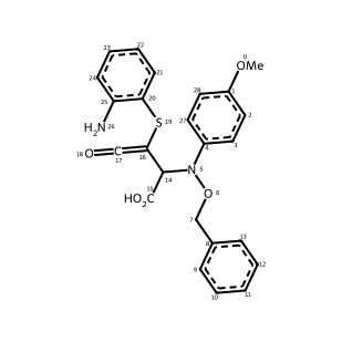 COc1ccc(N(OCc2ccccc2)C(C(=O)O)C(=C=O)Sc2ccccc2N)cc1